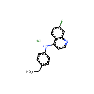 Cl.O=C(O)Cc1ccc(Nc2ccnc3cc(Cl)ccc23)cc1